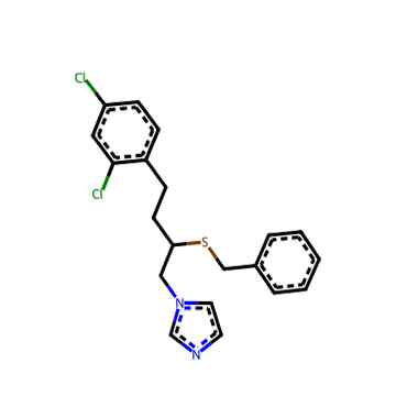 Clc1ccc(CCC(Cn2ccnc2)SCc2ccccc2)c(Cl)c1